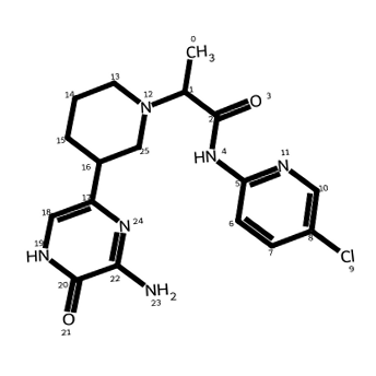 CC(C(=O)Nc1ccc(Cl)cn1)N1CCCC(c2c[nH]c(=O)c(N)n2)C1